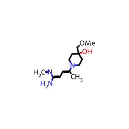 C=N/C(N)=C\C=C(/C)N1CCC(O)(COC)CC1